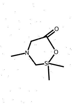 CN1CC(=O)O[Si](C)(C)C1